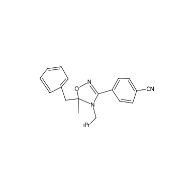 CC(C)CN1C(c2ccc(C#N)cc2)=NOC1(C)Cc1ccccc1